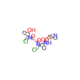 CC(COC(=O)Nc1cc2c(c3ccccc13)C(CCl)CN2C(=O)CCCC(=O)N1CC(CCl)c2c1cc(O)c1ccccc21)SSc1ccccn1